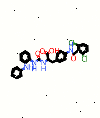 O=C(Nc1ccccc1Nc1ccccc1)NC(Cc1ccc(NC(=O)c2c(Cl)cccc2Cl)cc1)C(=O)O